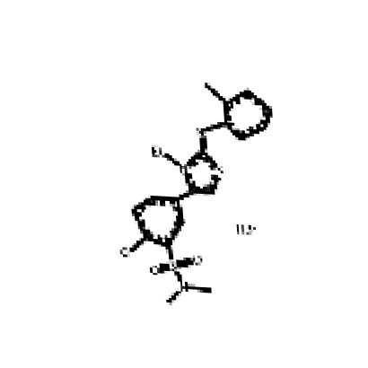 Br.CCn1c(-c2ccc(Cl)c(S(=O)(=O)N(C)C)c2)csc1=Nc1ccccc1C